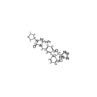 CCCc1nn(C2CCCC2)c(=O)n1Cc1ccc(OC(c2nnn[nH]2)c2ccccc2Cl)cc1